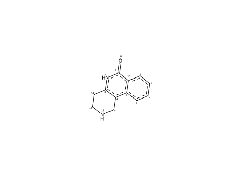 O=c1[nH]c2c(c3ccccc13)CNCC2